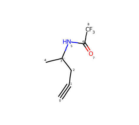 C#CC[C](C)NC(=O)C(F)(F)F